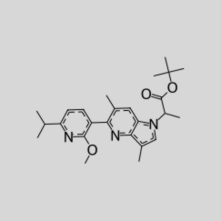 COc1nc(C(C)C)ccc1-c1nc2c(C)cn(C(C)C(=O)OC(C)(C)C)c2cc1C